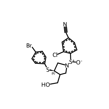 N#Cc1ccc([S+]([O-])N2CC(CO)[C@@H](Sc3ccc(Br)cc3)C2)c(Cl)c1